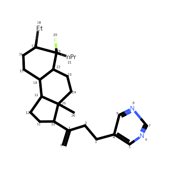 C=C(CCc1cncnc1)C1CCC2C3CCC(CC)C(F)(CCC)C3CCC12C